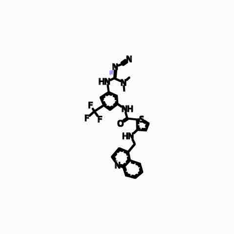 CN(C)/C(=N\C#N)Nc1cc(NC(=O)c2sccc2NCc2ccnc3ccccc23)cc(C(F)(F)F)c1